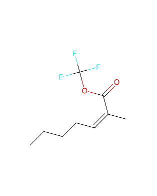 CCCCC=C(C)C(=O)OC(F)(F)F